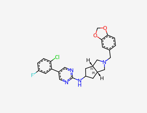 Fc1ccc(Cl)c(-c2cnc(NC3C[C@@H]4CN(Cc5ccc6c(c5)OCO6)C[C@@H]4C3)nc2)c1